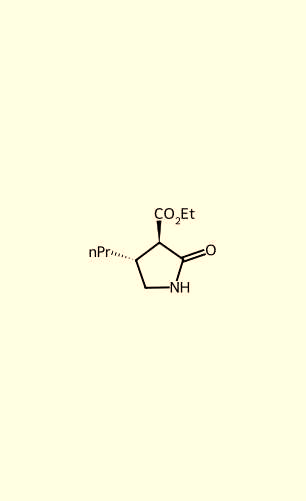 CCC[C@H]1CNC(=O)[C@@H]1C(=O)OCC